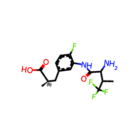 CC(C(N)C(=O)Nc1cc(C[C@@H](C)C(=O)O)ccc1F)C(F)(F)F